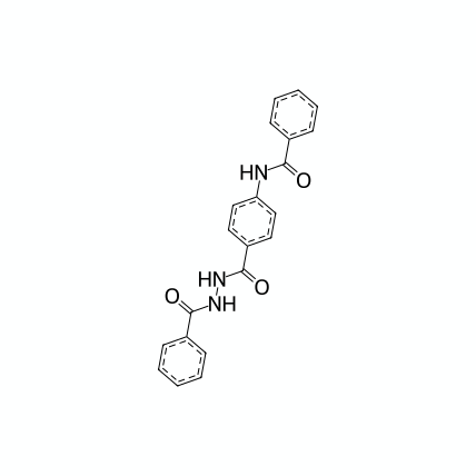 O=C(NNC(=O)c1ccc(NC(=O)c2ccccc2)cc1)c1ccccc1